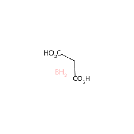 B.O=C(O)CC(=O)O